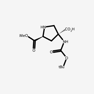 COC(=O)[C@@H]1C[C@@](NC(=O)OC(C)(C)C)(C(=O)O)CN1